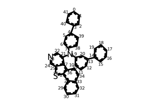 c1ccc(-c2ccc(N(c3cccc(-c4ccccc4)c3)c3cncc4sc5c6ccccc6ccc5c34)cc2)cc1